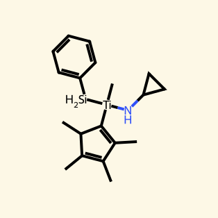 CC1=C(C)C(C)[C]([Ti]([CH3])([NH]C2CC2)[SiH2]c2ccccc2)=C1C